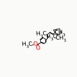 CCOC(=O)c1ccc(C=C(C)C=CC23CC2(C)CCCC3(C)C)cc1